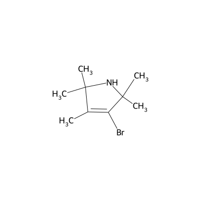 CC1=C(Br)C(C)(C)NC1(C)C